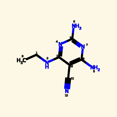 CCNc1nc(N)nc(N)c1C#N